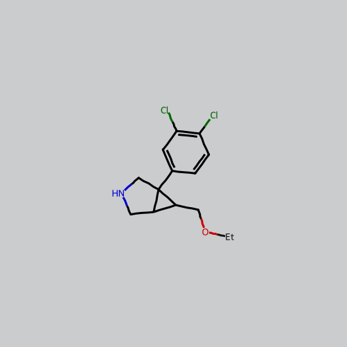 CCOCC1C2CNCC21c1ccc(Cl)c(Cl)c1